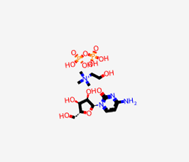 C[N+](C)(C)CCO.Nc1ccn([C@@H]2O[C@H](CO)[C@@H](O)[C@H]2O)c(=O)n1.O=P(O)(O)OP(=O)(O)O